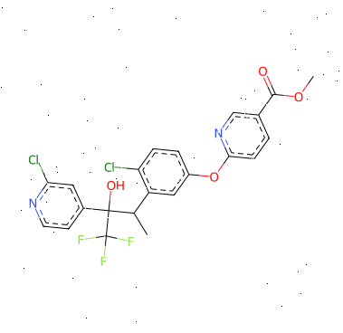 COC(=O)c1ccc(Oc2ccc(Cl)c(C(C)C(O)(c3ccnc(Cl)c3)C(F)(F)F)c2)nc1